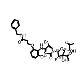 CC(=O)C(O)[C@H]1O[C@@H](n2cc(Br)c(Nc3c(O)cccc3OCCC(=O)NCc3ccccc3)nc2=O)[C@H](F)[C@@]1(O)C(C)=O